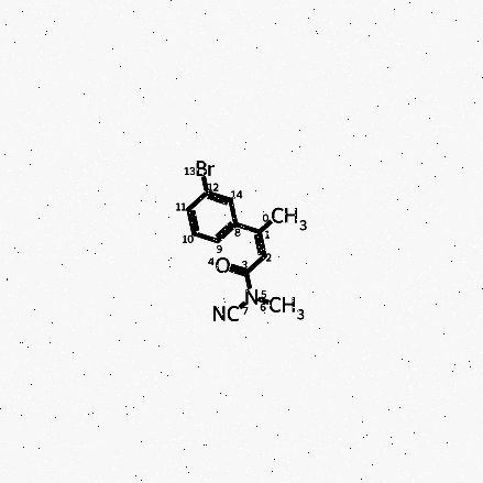 C/C(=C/C(=O)N(C)C#N)c1cccc(Br)c1